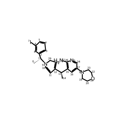 C[C@H](c1cccc(I)c1)N1C=CC([C@H](C)c2cc(N3CCOCC3)cnc2N)=CC1